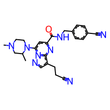 CC1CN(C)CCN1c1cc(C(=O)NCc2ccc(C#N)cc2)nc2c(CCC#N)cnn12